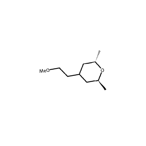 COCCC1C[C@H](C)O[C@@H](C)C1